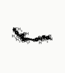 Cc1ncsc1-c1ccc([C@H](C)NC(=O)C2C[C@@H](O)CN2C(=O)[C@@H](NC(=O)COCCCCCOc2ccc(C(=O)N[C@@H](C)Cn3ccc(-c4ccc(C#N)c(Cl)c4)n3)cc2)C(C)(C)C)cc1